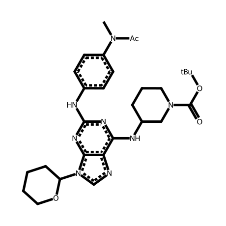 CC(=O)N(C)c1ccc(Nc2nc(NC3CCCN(C(=O)OC(C)(C)C)C3)c3ncn(C4CCCCO4)c3n2)cc1